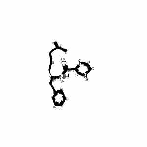 CC(C)CCC[C@H](Cc1ccccc1)NC(=O)c1cnccn1